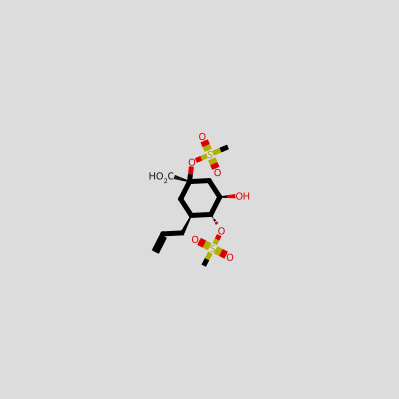 C=CC[C@H]1C[C@@](OS(C)(=O)=O)(C(=O)O)C[C@@H](O)[C@@H]1OS(C)(=O)=O